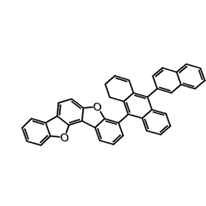 C1=Cc2c(c(-c3cccc4c3oc3ccc5c6ccccc6oc5c34)c3ccccc3c2-c2ccc3ccccc3c2)CC1